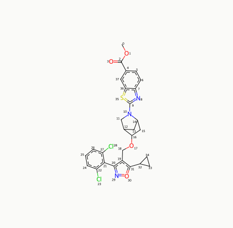 COC(=O)c1ccc2nc(N3CC4CC3CC4OCc3c(-c4c(Cl)cccc4Cl)noc3C3CC3)sc2c1